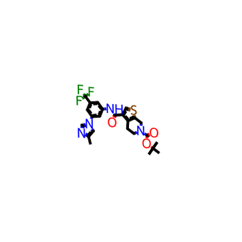 Cc1cn(-c2cc(NC(=O)c3csc4c3CCN(C(=O)OC(C)(C)C)C4)cc(C(F)(F)F)c2)cn1